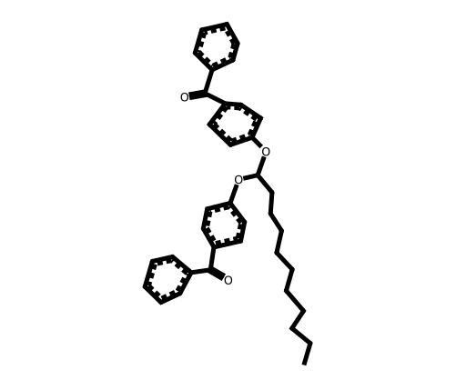 CCCCCCCCCCC(Oc1ccc(C(=O)c2ccccc2)cc1)Oc1ccc(C(=O)c2ccccc2)cc1